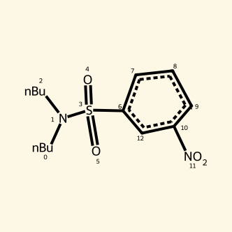 CCCCN(CCCC)S(=O)(=O)c1cc[c]c([N+](=O)[O-])c1